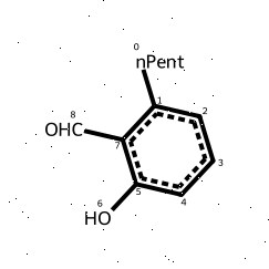 CCCCCc1cccc(O)c1C=O